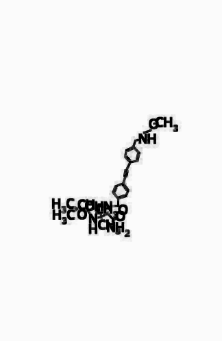 COCCNCc1ccc(C#Cc2ccc(C(=O)NC(C(N)=O)C(C)(C)NC(=O)OC(C)(C)C)cc2)cc1